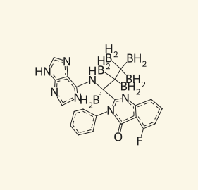 BC(B)(B)C(B)(B)[C@](B)(Nc1ncnc2[nH]cnc12)c1nc2cccc(F)c2c(=O)n1-c1ccccc1